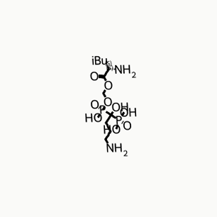 CC[C@H](C)[C@H](N)C(=O)OCOP(=O)(O)C(O)(CCCN)P(=O)(O)O